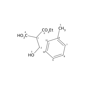 CCOC(=O)C(CO)C(=O)O.Cc1ccccc1